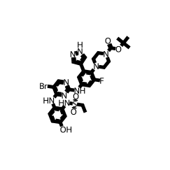 CCS(=O)(=O)Nc1cc(O)ccc1Nc1nc(Nc2cc(F)c(N3CCN(C(=O)OC(C)(C)C)CC3)c(-c3cn[nH]c3)c2)ncc1Br